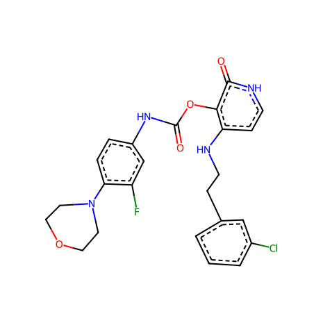 O=C(Nc1ccc(N2CCOCC2)c(F)c1)Oc1c(NCCc2cccc(Cl)c2)cc[nH]c1=O